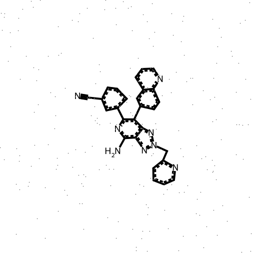 N#Cc1cccc(-c2nc(N)c3nn(Cc4ccccn4)nc3c2-c2ccc3ncccc3c2)c1